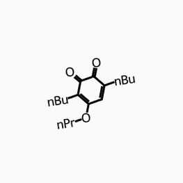 CCCCC1=CC(OCCC)=C(CCCC)C(=O)C1=O